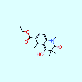 CCOC(=O)C1=CC=C2C(=C(O)C(C)(C)C(=O)N2C)C1C